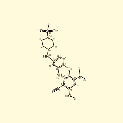 C#Cc1cc(Oc2cnc(NC3CCN(S(C)(=O)=O)CC3)nc2N)c(C(C)C)cc1OC